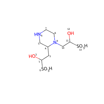 O=S(=O)(O)C(O)CC1CNCCN1CC(O)S(=O)(=O)O